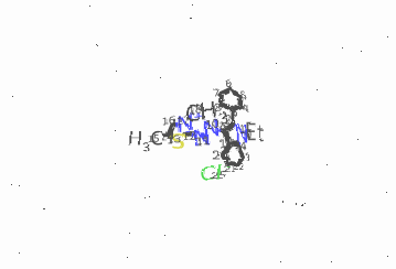 CCn1c(-c2ccccc2)c(N=Nc2sc(C)c[n+]2C)c2ccccc21.[Cl-]